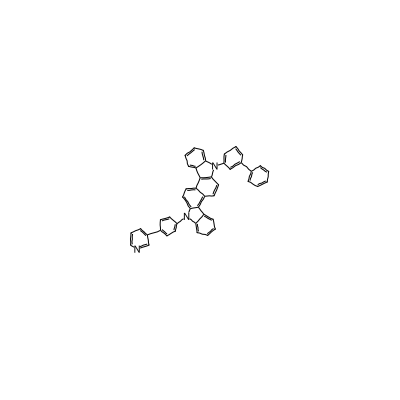 c1ccc(-c2cccc(-n3c4ccccc4c4c5ccc6c(c5ccc43)c3ccccc3n6-c3ccc(-c4cccnc4)cc3)c2)cc1